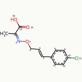 C/C(=N/OC/C=C/c1ccc(Cl)cc1)C(=O)O